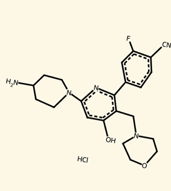 Cl.N#Cc1ccc(-c2nc(N3CCC(N)CC3)cc(O)c2CN2CCOCC2)cc1F